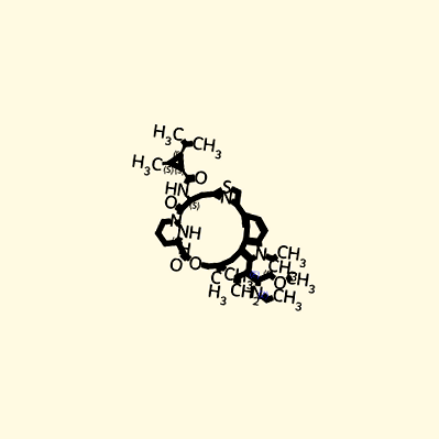 C=C/C(=C(\N=C/C)[C@H](C)OC)c1c2c3cc(ccc3n1CC)C1CSC(=N1)C[C@H](NC(=O)[C@H]1[C@@H](C)[C@H]1C(C)C)C(=O)N1CCC[C@H](N1)C(=O)OCC(C)(C)C2